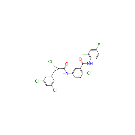 O=C(Nc1ccc(F)cc1F)c1cc(NC(=O)C2C(c3cc(Cl)cc(Cl)c3)[C@@H]2Cl)ccc1Cl